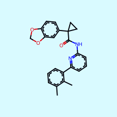 Cc1cccc(-c2cccc(NC(=O)C3(c4ccc5c(c4)OCO5)CC3)n2)c1C